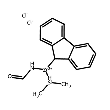 C[SiH](C)[Zr+2]([NH]C=O)[CH]1c2ccccc2-c2ccccc21.[Cl-].[Cl-]